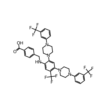 O=C(O)c1ccc(CNc2cc(C(F)(F)F)c(N3CCN(c4cccc(C(F)(F)F)c4)CC3)cc2N2CCN(c3cccc(C(F)(F)F)c3)CC2)cc1